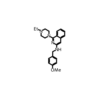 CCN1CCN(c2nc(NCc3ccc(OC)cc3)cc3ccccc23)CC1